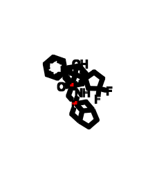 O=C(NCC1C2CCC1CN(Cc1ccccc1)C2)C(O)(c1ccccc1)C1CCC(F)(F)C1